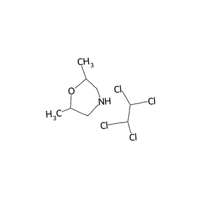 CC1CNCC(C)O1.ClC(Cl)C(Cl)Cl